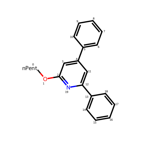 CCCCCOc1cc(-c2ccccc2)cc(-c2ccccc2)n1